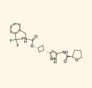 O=C(NCc1ccccc1C(F)(F)F)O[C@H]1C[C@@H](c2cc(NC(=O)[C@H]3CCCO3)[nH]n2)C1